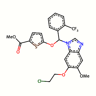 COC(=O)c1ccc(OC(c2ccccc2C(F)(F)F)n2cnc3cc(OC)c(OCCCl)cc32)s1